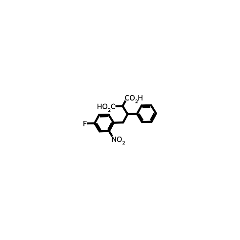 O=C(O)C(C(=O)O)C(Cc1ccc(F)cc1[N+](=O)[O-])c1ccccc1